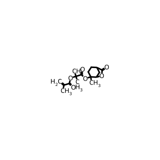 C=C(C)C(=O)OC(C)(C)C(=O)OC1(C)CCC2CC1OC2=O